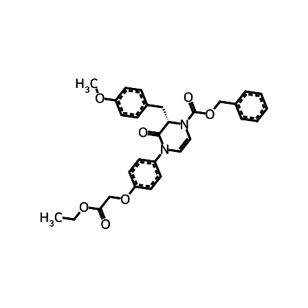 CCOC(=O)COc1ccc(N2C=CN(C(=O)OCc3ccccc3)[C@@H](Cc3ccc(OC)cc3)C2=O)cc1